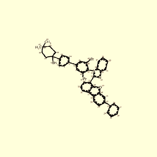 BC1(c2ccc(-c3cc(C(C)C)c(-n4c(-c5cccc6c5oc5cc(-c7ccccc7)ccc56)nc5ccccc54)c(C(C)C)c3)cc2)CCC(C)(C)CC1